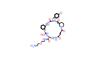 NCCOCCNC(=O)[C@@H]1CCNC(=O)/C=C/C(=O)N2CCC[C@H](C2)C(=O)N[C@@H](Cc2ccc(Cl)cc2)C(=O)NCc2ccccc2CC(O)N1